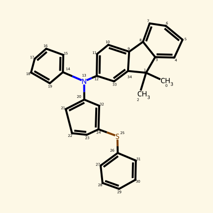 CC1(C)c2ccccc2-c2ccc(N(c3ccccc3)c3cccc(Sc4ccccc4)c3)cc21